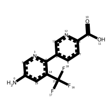 Nc1cnc(-c2ccc(C(=O)O)nc2)c(C(F)(F)F)c1